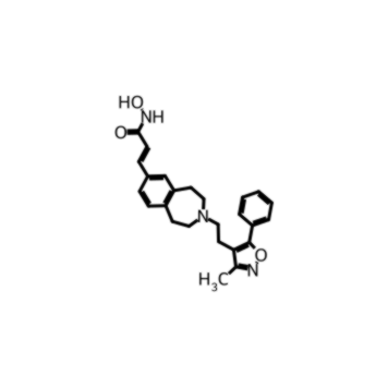 Cc1noc(-c2ccccc2)c1CCN1CCc2ccc(C=CC(=O)NO)cc2CC1